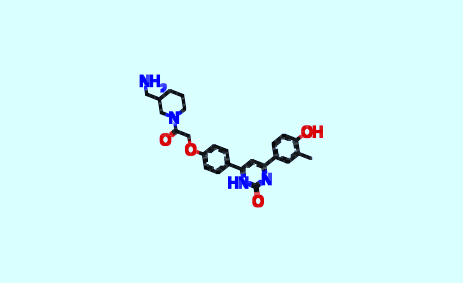 Cc1cc(-c2cc(-c3ccc(OCC(=O)N4CCCC(CN)C4)cc3)[nH]c(=O)n2)ccc1O